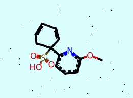 COc1cccc(C2(S(=O)(=O)O)C=CC=CC2)n1